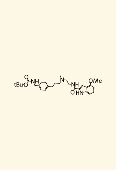 COc1cccc2[nH]c(C(=O)NCCN(C)CCCc3ccc(CNC(=O)OC(C)(C)C)cc3)cc12